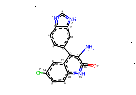 Nc1c(-c2ccc3nc[nH]c3c2)c2cc(Cl)ccc2[nH]c1=O